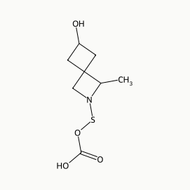 CC1N(SOC(=O)O)CC12CC(O)C2